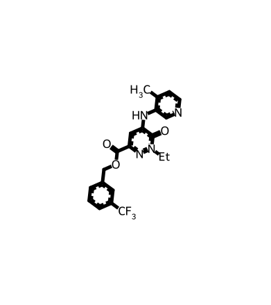 CCn1nc(C(=O)OCc2cccc(C(F)(F)F)c2)cc(Nc2cnccc2C)c1=O